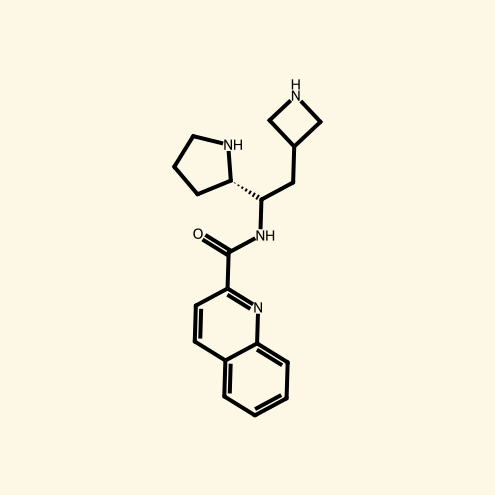 O=C(NC(CC1CNC1)[C@@H]1CCCN1)c1ccc2ccccc2n1